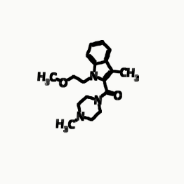 COCCn1c(C(=O)N2CCN(C)CC2)c(C)c2ccccc21